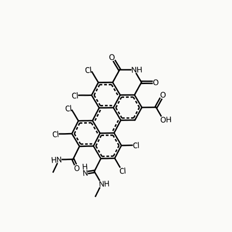 CNC(=N)c1c(Cl)c(Cl)c2c3cc(C(=O)O)c4c5c(c(Cl)c(Cl)c(c6c(Cl)c(Cl)c(C(=O)NC)c1c26)c53)C(=O)NC4=O